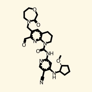 CO[C@@H]1CCCC1Nc1cc(NC(=O)N2CCCc3cc(CN4CCCOCC4=O)c(C=O)nc32)ncc1C#N